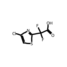 O=C(O)C(F)(F)c1nc(Cl)cs1